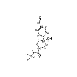 CC(C)(C)OC(=O)N1CCC(O)(c2ccc(C#N)cc2)CC1